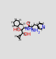 N[C@@H](Cc1ccncc1)C(=O)N[C@@H](CC1CCCCC1)[C@@H](O)[C@@H](O)C1CC1